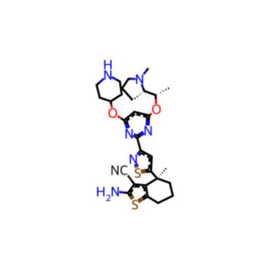 C[C@H](Oc1cc(OC2CCNCC2)nc(-c2cc([C@@]3(C)CCCc4sc(N)c(C#N)c43)sn2)n1)[C@@H]1CCCN1C